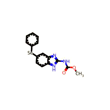 COC(=O)Nc1nc2cc([Se]c3ccccc3)ccc2[nH]1